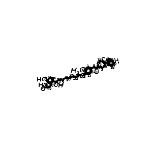 Cc1cc(CC(=O)N2CCC(C(=O)O)(c3ccccc3)CC2)ccc1OCCCCCNC[C@H](O)c1ccc(O)c2[nH]c(=O)ccc12